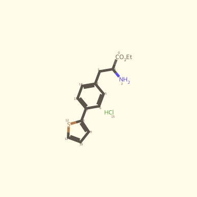 CCOC(=O)C(N)Cc1ccc(-c2cccs2)cc1.Cl